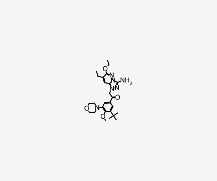 CCOc1nn2c(N)n[n+](CC(=O)c3cc(N4CCOCC4)c(OC)c(C(C)(C)C)c3)c2cc1CC